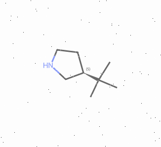 CC(C)(C)[C@@H]1CCNC1